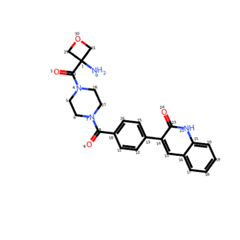 NC1(C(=O)N2CCN(C(=O)c3ccc(-c4cc5ccccc5[nH]c4=O)cc3)CC2)COC1